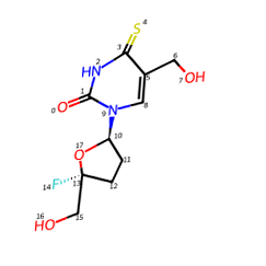 O=c1[nH]c(=S)c(CO)cn1[C@H]1CC[C@@](F)(CO)O1